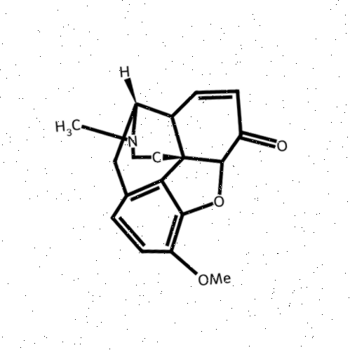 COc1ccc2c3c1OC1C(=O)C=CC4[C@@H](C2)N(C)CC[C@]314